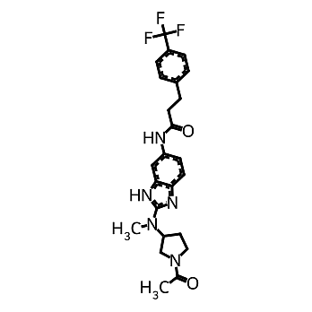 CC(=O)N1CCC(N(C)c2nc3ccc(NC(=O)CCc4ccc(C(F)(F)F)cc4)cc3[nH]2)C1